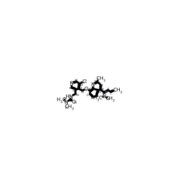 C=C/C=C(/c1cc(C)nc2c(OCc3c(Cl)cncc3CNC(=O)N(C)C)cccc12)N(C)C